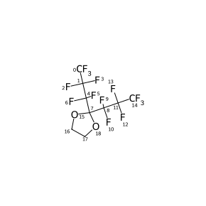 FC(F)(F)C(F)(F)C(F)(F)C1(C(F)(F)C(F)(F)C(F)(F)F)OCCO1